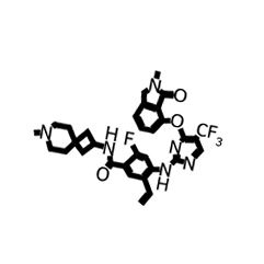 C=Cc1cc(C(=O)NC2CC3(CCN(C)CC3)C2)c(F)cc1Nc1ncc(C(F)(F)F)c(Oc2cccc3c2C(=O)N(C)C3)n1